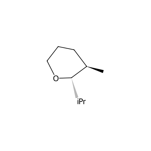 CC(C)[C@@H]1OCCC[C@H]1C